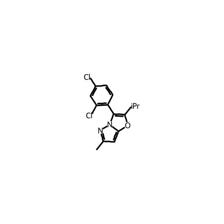 Cc1cc2oc(C(C)C)c(-c3ccc(Cl)cc3Cl)n2n1